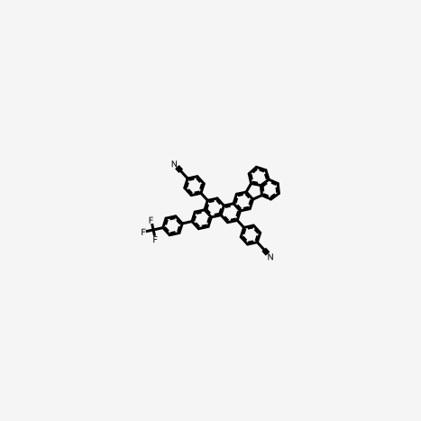 N#Cc1ccc(-c2cc3c4cc5c(cc4c(-c4ccc(C#N)cc4)cc3c3ccc(-c4ccc(C(F)(F)F)cc4)cc23)-c2cccc3cccc-5c23)cc1